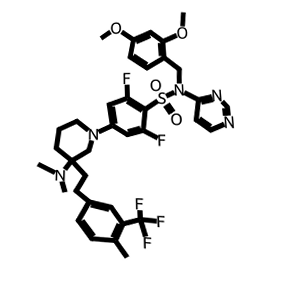 COc1ccc(CN(c2ccncn2)S(=O)(=O)c2c(F)cc(N3CCCC(CCc4ccc(C)c(C(F)(F)F)c4)(N(C)C)C3)cc2F)c(OC)c1